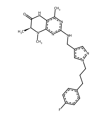 Cc1nc(NCc2cnn(CCCc3ccc(F)cc3)c2)nc2c1NC(=O)[C@H](C)N2C